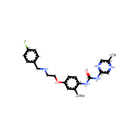 COc1cc(OCCNCc2ccc(F)cc2)ccc1NC(=O)Nc1cnc(C#N)cn1